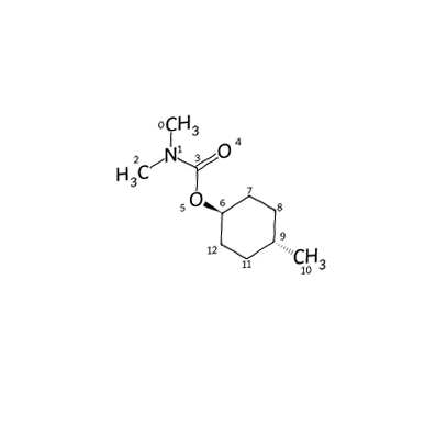 CN(C)C(=O)O[C@H]1CC[C@H](C)CC1